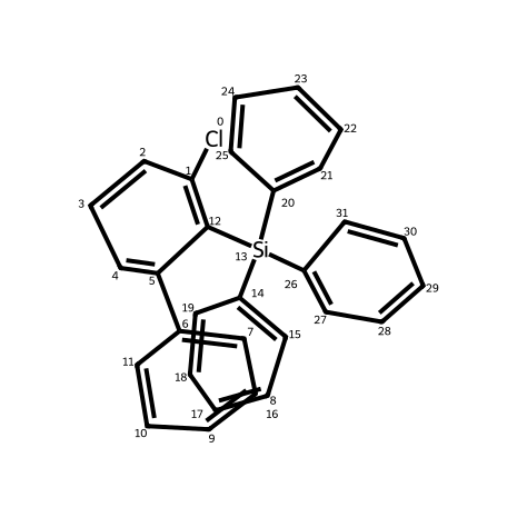 Clc1cccc(-c2ccccc2)c1[Si](c1ccccc1)(c1ccccc1)c1ccccc1